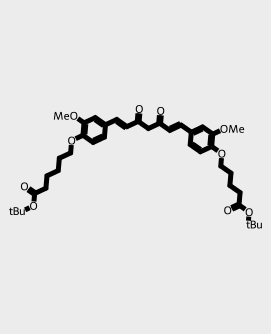 COc1cc(/C=C/C(=O)CC(=O)/C=C/c2ccc(OCCCCC(=O)OC(C)(C)C)c(OC)c2)ccc1OCCCCCC(=O)OC(C)(C)C